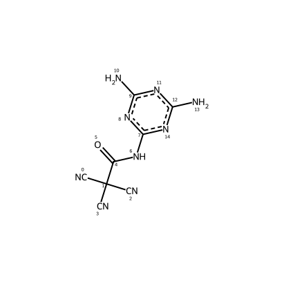 N#CC(C#N)(C#N)C(=O)Nc1nc(N)nc(N)n1